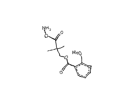 COc1ccccc1C(=O)OCC(C)(C)C(=O)ON